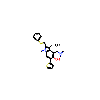 CCOC(=O)c1c(CSc2ccccc2)n(C)c2cc(-c3cccs3)c(O)c(CN(C)C)c12